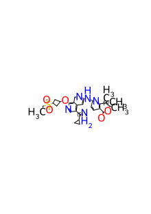 CCS(=O)(=O)[C@H]1C[C@@H](Oc2ncc([C@@H](N)C3CC3)c3cc(Nc4ccc5c(n4)[C@@H](C)C(C)(C)OC5=O)ncc23)C1